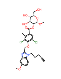 C#CCCCn1c(COc2c(Cl)cc(C(=O)O[C@H]3[C@@H](OC)O[C@H](CO)[C@@H](O)[C@@H]3O)c(C)c2Cl)nc2cc(OC)ccc21